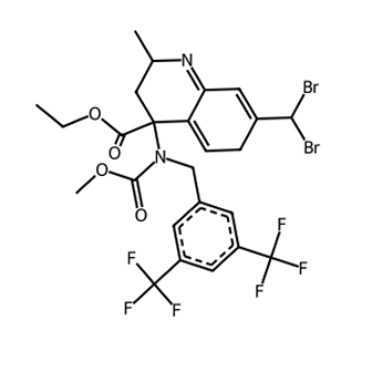 CCOC(=O)C1(N(Cc2cc(C(F)(F)F)cc(C(F)(F)F)c2)C(=O)OC)CC(C)N=C2C=C(C(Br)Br)CC=C21